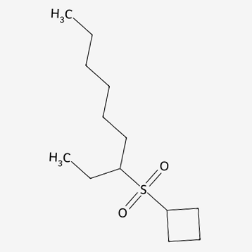 CCCCCCC(CC)S(=O)(=O)C1CCC1